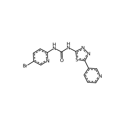 O=C(Nc1ccc(Br)cn1)Nc1nnc(-c2cccnc2)s1